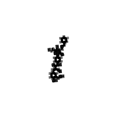 CC(=O)N[C@H](COCc1ccccc1)C(=O)Nc1ccc(NC(=O)C(C#N)=Cc2ccc(O)c(CO)c2)cc1